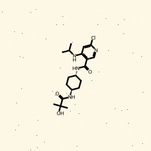 CC(C)Nc1cc(Cl)ncc1C(=O)N[C@H]1CC[C@H](NC(=O)C(C)(C)O)CC1